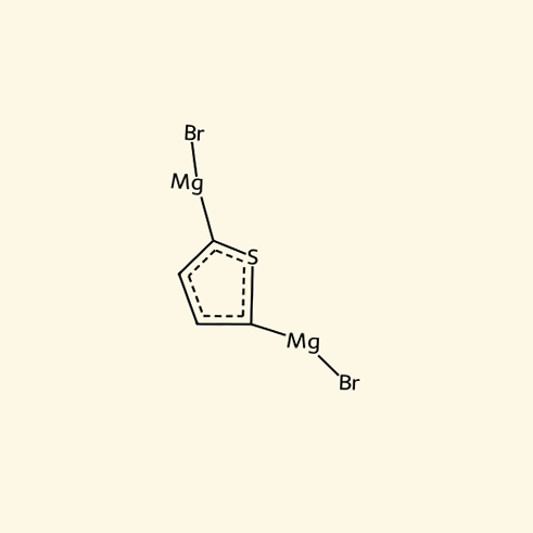 [Br][Mg][c]1cc[c]([Mg][Br])s1